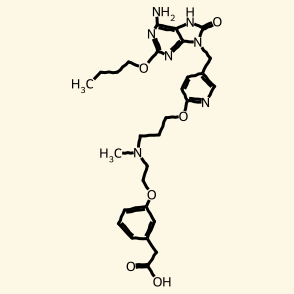 CCCCOc1nc(N)c2[nH]c(=O)n(Cc3ccc(OCCCN(C)CCOc4cccc(CC(=O)O)c4)nc3)c2n1